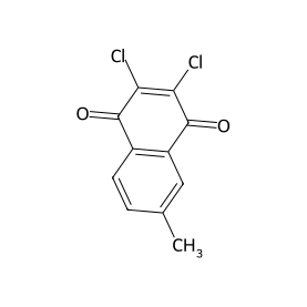 Cc1ccc2c(c1)C(=O)C(Cl)=C(Cl)C2=O